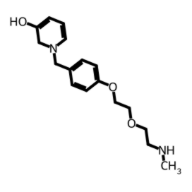 CNCCOCCOc1ccc(CN2C=CC=C(O)C2)cc1